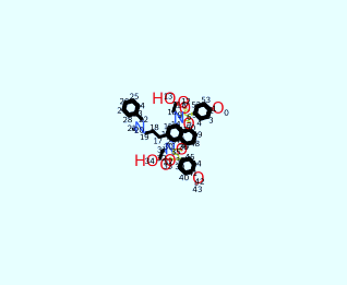 COc1ccc(S(=O)(=O)N(CC(=O)O)c2cc(CCCN(C)Cc3ccccc3)c(N(CC(=O)O)S(=O)(=O)c3ccc(OC)cc3)c3ccccc23)cc1